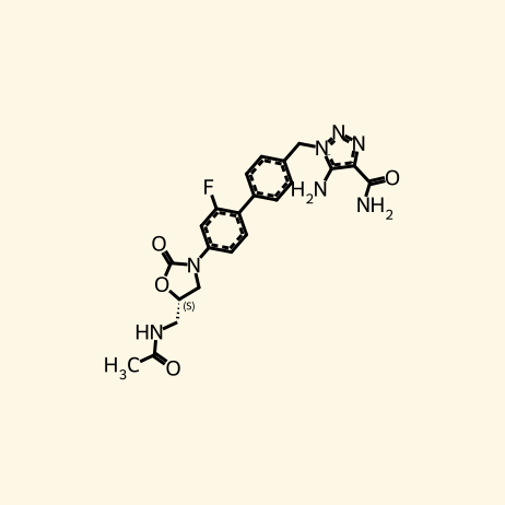 CC(=O)NC[C@H]1CN(c2ccc(-c3ccc(Cn4nnc(C(N)=O)c4N)cc3)c(F)c2)C(=O)O1